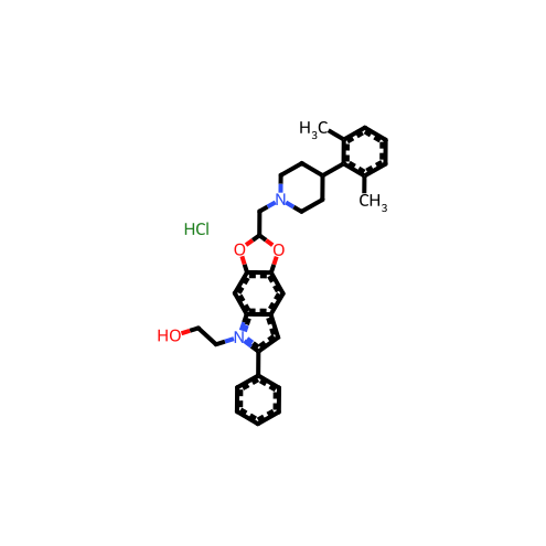 Cc1cccc(C)c1C1CCN(CC2Oc3cc4cc(-c5ccccc5)n(CCO)c4cc3O2)CC1.Cl